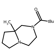 CC(C)(C)C(=O)N1CCN2CCCC2(C)C1